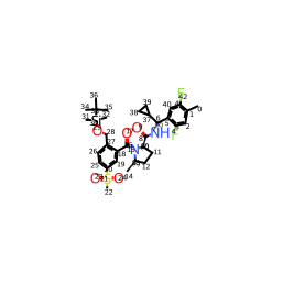 Cc1cc(F)c([C@H](NC(=O)[C@H]2CC[C@@H](C)N2C(=O)c2cc(S(C)(=O)=O)ccc2CO[Si](C)(C)C(C)(C)C)C2CC2)cc1F